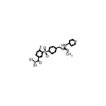 CCN(CC)C(=O)c1ccc(F)c(S(=O)(=O)c2ccc(CN/C(=N\C)Nc3ccncc3)cc2)c1